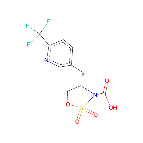 O=C(O)N1[C@@H](Cc2ccc(C(F)(F)F)nc2)COS1(=O)=O